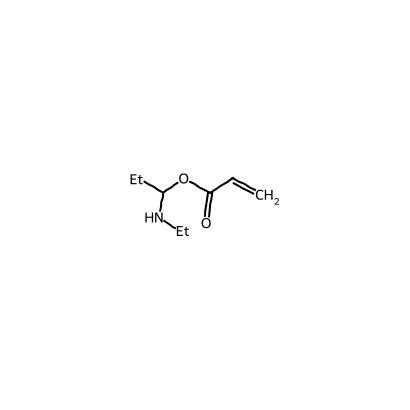 C=CC(=O)OC(CC)NCC